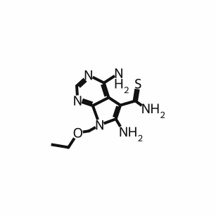 CCOCn1c(N)c(C(N)=S)c2c(N)ncnc21